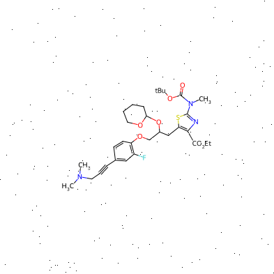 CCOC(=O)c1nc(N(C)C(=O)OC(C)(C)C)sc1CC(COc1ccc(C#CCN(C)C)cc1F)OC1CCCCO1